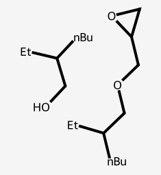 CCCCC(CC)CO.CCCCC(CC)COCC1CO1